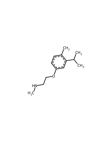 CNCCOc1ccc(C)c(C(C)C)c1